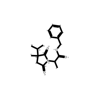 CC(C(=O)OCc1ccccc1)N1C(=O)CC(C)(C(C)C)C1=O